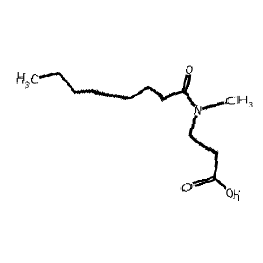 CCCCCCCC(=O)N(C)CCC(=O)O